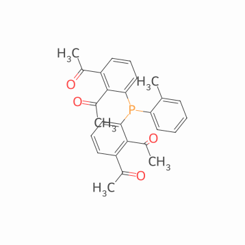 CC(=O)c1cccc(P(c2ccccc2C)c2cccc(C(C)=O)c2C(C)=O)c1C(C)=O